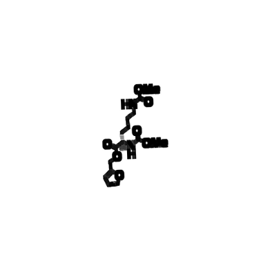 COC(=O)NCCCC[C@H](NC(=O)OC)C(=O)OCc1ccco1